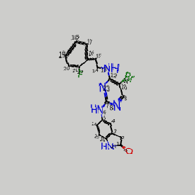 O=C1Cc2cc(Nc3ncc(Br)c(NCCc4ccccc4F)n3)ccc2N1